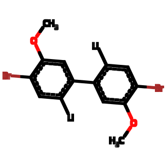 [Li][c]1cc(Br)c(OC)cc1-c1cc(OC)c(Br)c[c]1[Li]